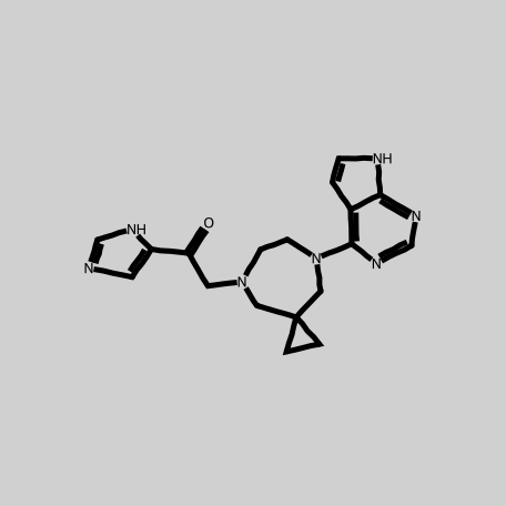 O=C(CN1CCN(c2ncnc3[nH]ccc23)CC2(CC2)C1)c1cnc[nH]1